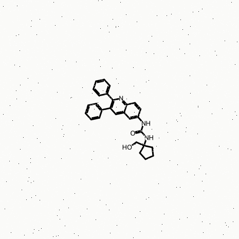 O=C(Nc1ccc2nc(-c3ccccc3)c(-c3ccccc3)cc2c1)NC1(CO)CCCC1